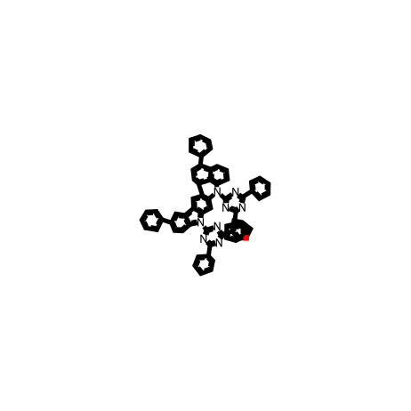 c1ccc(-c2ccc3c(c2)c2cc4c(cc2n3-c2nc(-c3ccccc3)nc(-c3ccccc3)n2)N(c2nc(-c3ccccc3)nc(-c3ccccc3)n2)c2cccc3c(-c5ccccc5)ccc-4c23)cc1